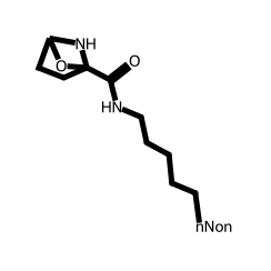 CCCCCCCCCCCCCCNC(=O)C12CCC(N1)O2